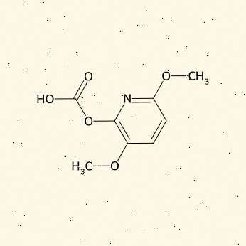 COc1ccc(OC)c(OC(=O)O)n1